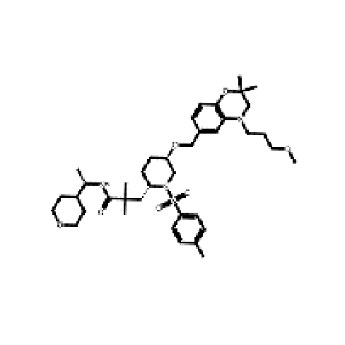 COCCCN1CC(C)(C)Oc2ccc(CO[C@@H]3CC[C@@H](CC(C)(C)C(=O)N[C@H](C)C4CCOCC4)N(S(=O)(=O)c4ccc(C)cc4)C3)cc21